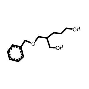 OCCCC(CO)COCc1ccccc1